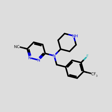 N#Cc1ccc(N(Cc2ccc(C(F)(F)F)c(F)c2)C2CCNCC2)nn1